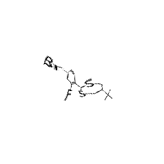 CC(C)(C)C1CSC(c2ccc(Br)cc2F)SC1